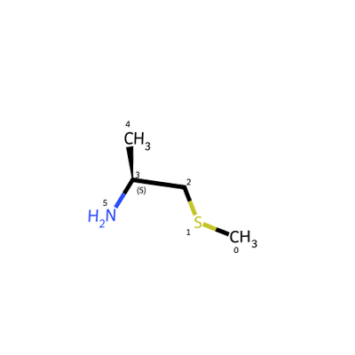 CSC[C@H](C)N